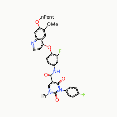 CCCCCOc1cc2nccc(Oc3ccc(NC(=O)c4cn(C(C)C)c(=O)n(-c5ccc(F)cc5)c4=O)cc3F)c2cc1OC